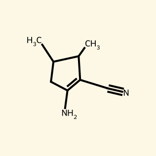 CC1CC(N)=C(C#N)C1C